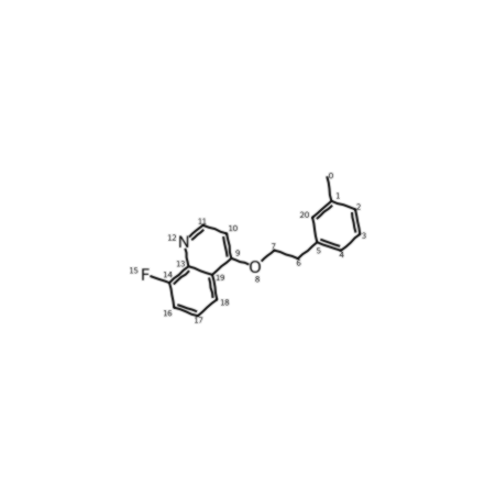 Cc1cccc(CCOc2ccnc3c(F)cccc23)c1